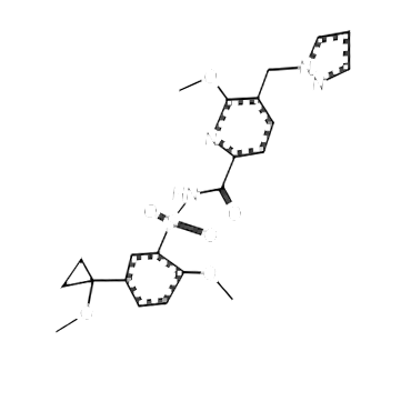 COc1ccc(C2(OC)CC2)cc1S(=O)(=O)NC(=O)c1ccc(Cn2cccn2)c(OC)n1